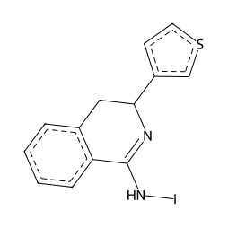 INC1=NC(c2ccsc2)Cc2ccccc21